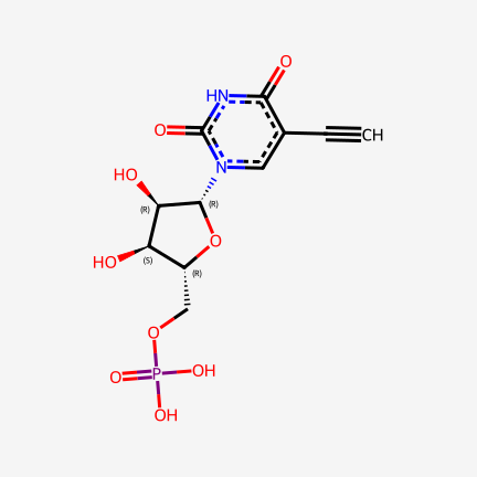 C#Cc1cn([C@@H]2O[C@H](COP(=O)(O)O)[C@@H](O)[C@H]2O)c(=O)[nH]c1=O